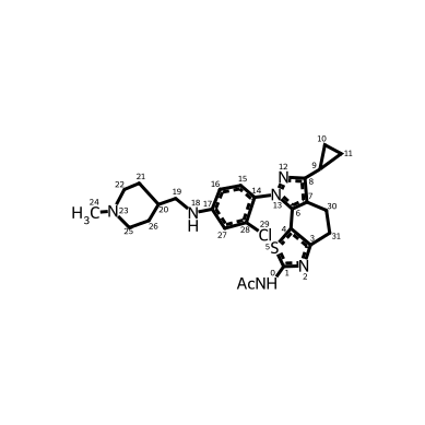 CC(=O)Nc1nc2c(s1)-c1c(c(C3CC3)nn1-c1ccc(NCC3CCN(C)CC3)cc1Cl)CC2